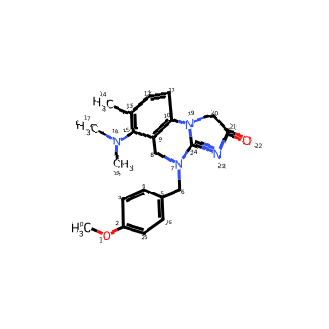 COc1ccc(CN2Cc3c(ccc(C)c3N(C)C)N3CC(=O)N=C23)cc1